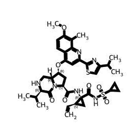 C=C[C@@H]1C[C@]1(NC(=O)[C@@H]1C[C@@H](Oc2cc(-c3nc(C(C)C)cs3)nc3c(C)c(OC)ccc23)[C@H]2CN[C@H](C(C)C)C(=O)N21)C(=O)NS(=O)(=O)C1CC1